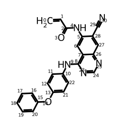 C=CC(=O)Nc1cc2c(Nc3ccc(Oc4ccccc4)cc3)ncnc2cc1C#N